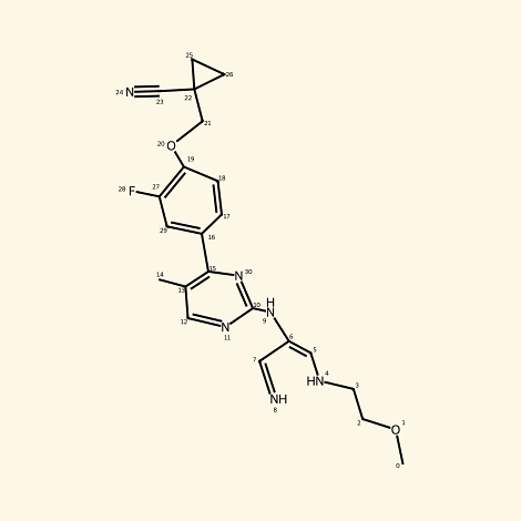 COCCN/C=C(\C=N)Nc1ncc(C)c(-c2ccc(OCC3(C#N)CC3)c(F)c2)n1